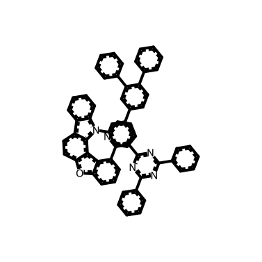 c1ccc(-c2nc(-c3ccccc3)nc(-c3cc(-c4ccc(-c5ccccc5)c(-c5ccccc5)c4)cnc3-c3cccc4oc5ccc6c7ccccc7n(-c7ccccc7)c6c5c34)n2)cc1